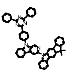 CC1(C)c2ccccc2-c2cc3c(cc21)c1ccccc1n3-c1cc2c3ccccc3n(-c3ccc(-c4nc(-c5ccccc5)nc(-c5ccccc5)n4)cc3)c2cn1